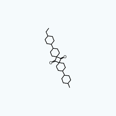 CCC1CCC(C2CCC3(CC2)C(=O)C2(CCC(C4CCC(C)CC4)CC2)C3=O)CC1